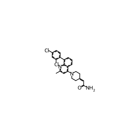 Cc1cc(N2CCC(=CC(N)=O)CC2)c2cccc(-c3ccc(Cl)cc3Cl)c2n1